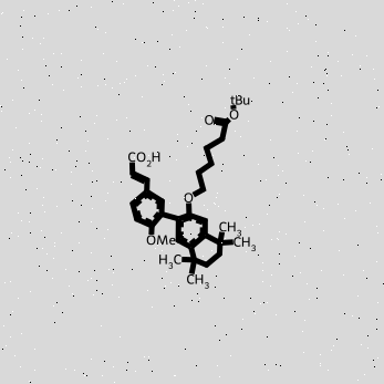 COc1ccc(/C=C/C(=O)O)cc1-c1cc2c(cc1OCCCCCC(=O)OC(C)(C)C)C(C)(C)CCC2(C)C